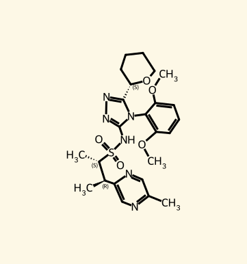 COc1cccc(OC)c1-n1c(NS(=O)(=O)[C@@H](C)[C@H](C)c2cnc(C)cn2)nnc1[C@@H]1CCCCO1